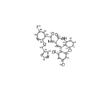 O=C(NC1N=C(c2c(Cl)cc(Cl)cc2Cl)c2ccccc2NC1=O)c1cc(F)cnc1OCc1cnco1